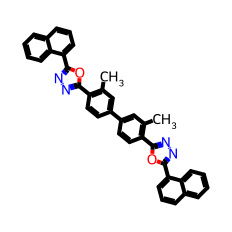 Cc1cc(-c2ccc(-c3nnc(-c4cccc5ccccc45)o3)c(C)c2)ccc1-c1nnc(-c2cccc3ccccc23)o1